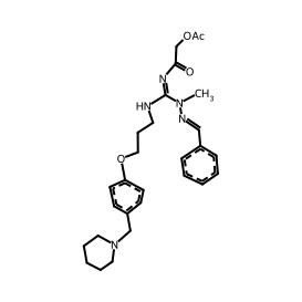 CC(=O)OCC(=O)N=C(NCCCOc1ccc(CN2CCCCC2)cc1)N(C)N=Cc1ccccc1